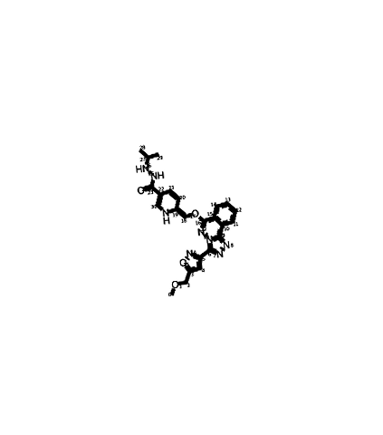 COCc1cc(-c2nnc3c4ccccc4c(OC=C4C=CC(C(=O)NNC(C)C)=CN4)nn23)no1